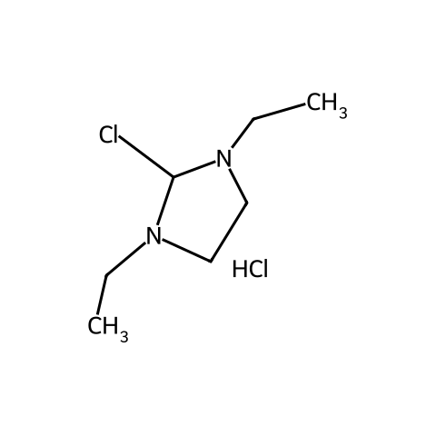 CCN1CCN(CC)C1Cl.Cl